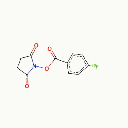 O=C(ON1C(=O)CCC1=O)c1ccc([18F])cc1